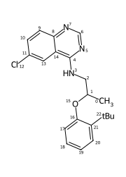 CC(CNc1ncnc2ccc(Cl)cc12)Oc1ccccc1C(C)(C)C